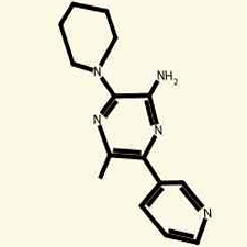 Cc1nc(N2CCCCC2)c(N)nc1-c1cccnc1